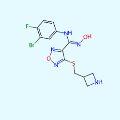 O/N=C(\Nc1ccc(F)c(Br)c1)c1nonc1SCC1CNC1